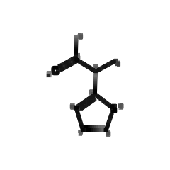 CC(=O)C(C)c1cccs1